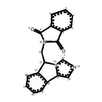 O=C1c2ccccc2C(=O)N1CC1c2ccccc2-c2cncn21